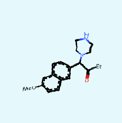 CCC(=O)C(c1ccc2cc(OC)ccc2c1)N1CCNCC1